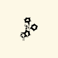 O=P(Oc1ccccc1)(Oc1ccccc1)Oc1ccnc2[nH]nnc12